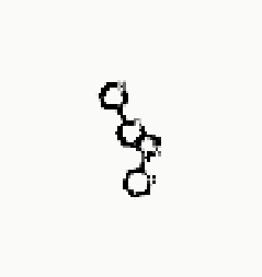 c1cncc(-c2ccc3c(cnn3C3CCCCO3)n2)c1